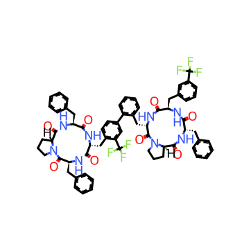 O=C1N[C@H](Cc2cccc(C(F)(F)F)c2)C(=O)N[C@@H](Cc2ccccc2-c2ccc(C[C@H]3NC(=O)[C@H](Cc4ccccc4)NC(=O)[C@H]4CCCN4C(=O)[C@H](Cc4ccccc4)NC3=O)c(C(F)(F)F)c2)C(=O)N2CCC[C@@H]2C(=O)N[C@H]1Cc1ccccc1